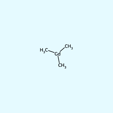 [CH3][Gd]([CH3])[CH3]